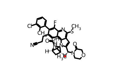 CSc1nc2c(F)c(-c3cccc(Cl)c3C)c(CCC#N)cc2c2c1cc([C@@H](C)N1CCOCC1=O)n2[C@H]1[C@@H]2C[C@H]1N(C(=O)O)C2